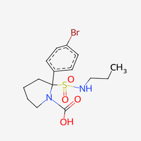 CCCNS(=O)(=O)C1(c2ccc(Br)cc2)CCCCN1C(=O)O